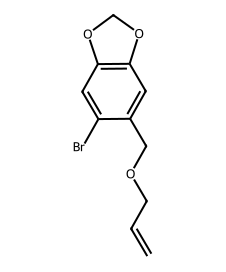 C=CCOCc1cc2c(cc1Br)OCO2